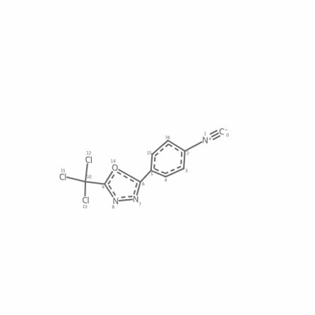 [C-]#[N+]c1ccc(-c2nnc(C(Cl)(Cl)Cl)o2)cc1